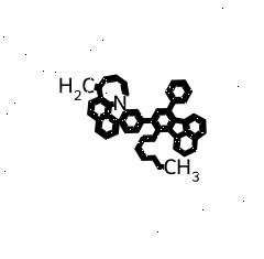 C=C1/C=C\C=C/N(c2cccc(-c3cc(-c4ccccc4)c4c(c3C=C/C=C\CCC)C3=CCCc5cccc-4c53)c2)c2c1ccc1ccccc21